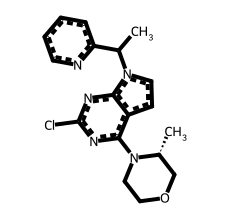 CC(c1ccccn1)n1ccc2c(N3CCOC[C@H]3C)nc(Cl)nc21